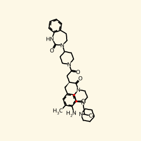 Cc1cc(C[C@@H](CC(=O)N2CCC(N3CCc4ccccc4NC3=O)CC2)C(=O)N2CCN(C3CC4CCN3CC4)CC2)cc(Cl)c1N